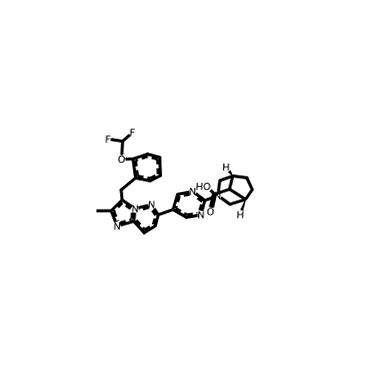 Cc1nc2ccc(-c3cnc(N4C[C@H]5CC[C@@H](C4)C5C(=O)O)nc3)nn2c1Cc1ccccc1OC(F)F